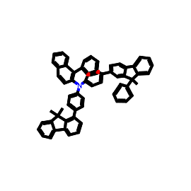 CC1(C)c2ccccc2-c2cccc(-c3ccc(N(c4ccc(-c5ccc6c(c5)C(C)(c5ccccc5)c5ccccc5-6)cc4)c4ccc5ccccc5c4-c4ccccc4)cc3)c21